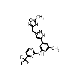 Cc1cc(Nc2nccc(C(F)(F)F)n2)cc(-c2cn(Cc3noc(C)n3)nn2)c1